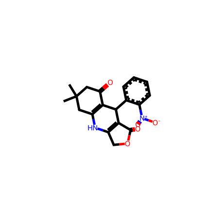 CC1(C)CC(=O)C2=C(C1)NC1=C(C(=O)OC1)C2c1ccccc1[N+](=O)[O-]